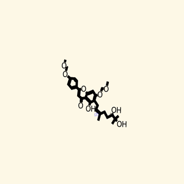 COCOc1ccc(-c2cc(=O)c3c(O)c(C/C=C(/C)CC[C@H](O)C(C)(C)O)c(OCOC)cc3o2)cc1